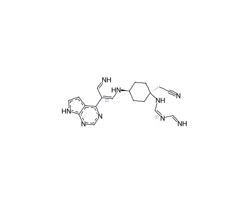 N#CC[C@]1(N/C=N\C=N)CC[C@@H](N/C=C(\C=N)c2ncnc3[nH]ccc23)CC1